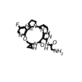 NCC(=O)Nc1nn2ccc3nc2c1C(=O)NC1(CC1)COc1ncc(F)cc1[C@H]1CCCN31